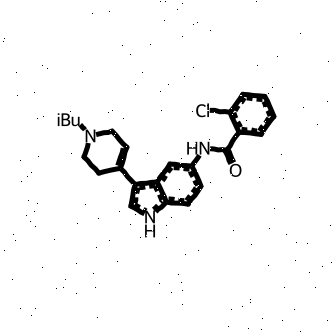 CCC(C)N1CC=C(c2c[nH]c3ccc(NC(=O)c4ccccc4Cl)cc23)CC1